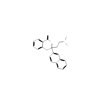 CN(C)CCC1(c2ccc3ccccc3c2)Cc2ccccc2C(=O)O1.Cl